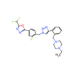 CCN1CCN(Cc2ccccc2-c2cn(Cc3ccc(-c4nnc(C(F)F)o4)cc3F)nn2)CC1